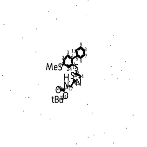 CSc1ccc(-c2ccccc2)c(Sc2cnc(CNC(=O)OC(C)(C)C)s2)c1